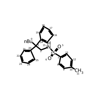 CCCCC(CNS(=O)(=O)c1ccc(C)cc1)(c1ccccc1)c1ccccc1